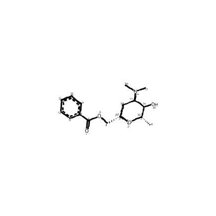 C[C@@H]1O[C@H](COC(=O)c2ccccc2)CC(N(C)C)C1O